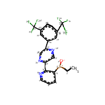 CC[S+]([O-])c1cccnc1-c1cnc(-c2cc(C(F)(F)F)cc(C(F)(F)F)c2)cn1